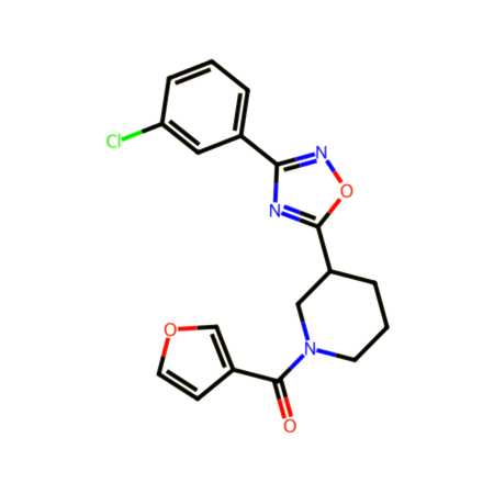 O=C(c1ccoc1)N1CCCC(c2nc(-c3cccc(Cl)c3)no2)C1